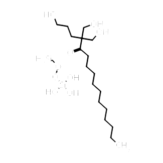 CCCCCCCCCCCC(=O)C(CO)(CO)CCCO.O[Si](O)(O)OO[SiH3]